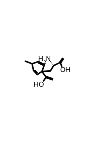 C=C(O)[C@@H](N)CC1(C(=C)O)C=CC(C)C=C1